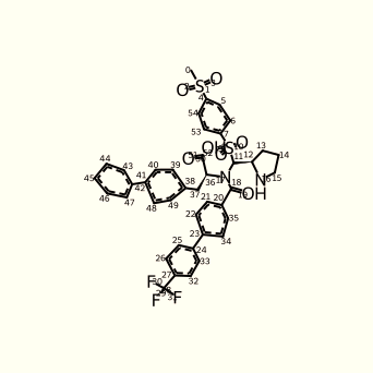 CS(=O)(=O)c1ccc(S(=O)(=O)C([C@H]2CCCN2)N(C(=O)c2ccc(-c3ccc(C(F)(F)F)cc3)cc2)[C@@H](Cc2ccc(-c3ccccc3)cc2)C(=O)O)cc1